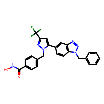 O=C(NO)c1ccc(Cn2nc(C(F)(F)F)cc2-c2ccc3c(c2)nnn3Cc2ccccc2)cc1